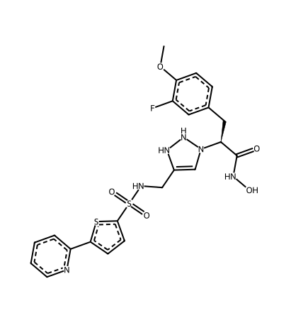 COc1ccc(C[C@@H](C(=O)NO)N2C=C(CNS(=O)(=O)c3ccc(-c4ccccn4)s3)NN2)cc1F